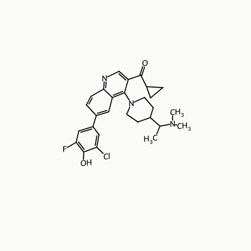 CC(C1CCN(c2c(C(=O)C3CC3)cnc3ccc(-c4cc(F)c(O)c(Cl)c4)cc23)CC1)N(C)C